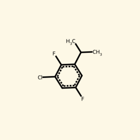 CC(C)c1cc(F)cc(Cl)c1F